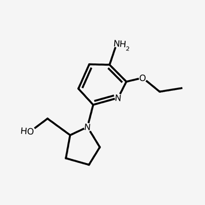 CCOc1nc(N2CCCC2CO)ccc1N